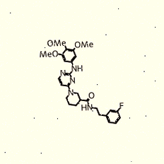 COc1cc(Nc2nccc(N3CCCC(C(=O)NCCc4cccc(F)c4)C3)n2)cc(OC)c1OC